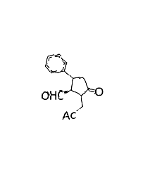 CC(=O)CC1C(=O)CC(c2ccccc2)[C@@H]1C=O